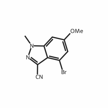 COc1cc(Br)c2c(C#N)nn(C)c2c1